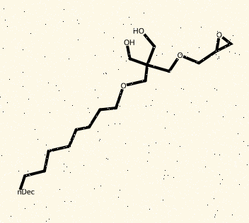 CCCCCCCCCCCCCCCCCCOCC(CO)(CO)COCC1CO1